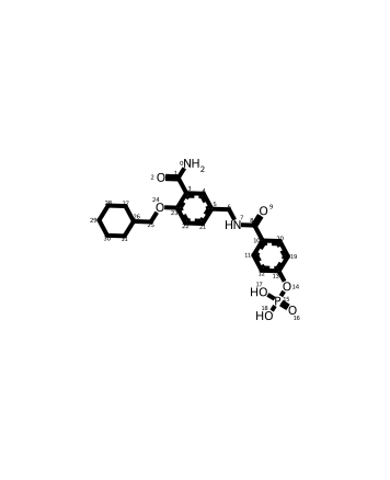 NC(=O)c1cc(CNC(=O)c2ccc(OP(=O)(O)O)cc2)ccc1OCC1CCCCC1